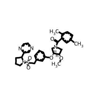 CO[C@@H]1CN(C(=O)c2cc(C)ccc2C)C[C@H]1Oc1cccc(CS(=O)(=O)N2CCCC2c2cnccn2)c1